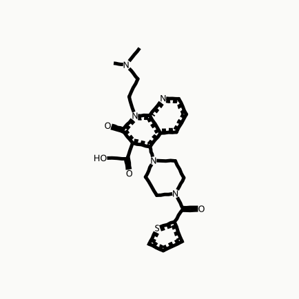 CN(C)CCn1c(=O)c(C(=O)O)c(N2CCN(C(=O)c3cccs3)CC2)c2cccnc21